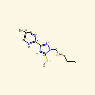 CCCOCn1nc(-c2ncc(Br)cn2)nc1SC